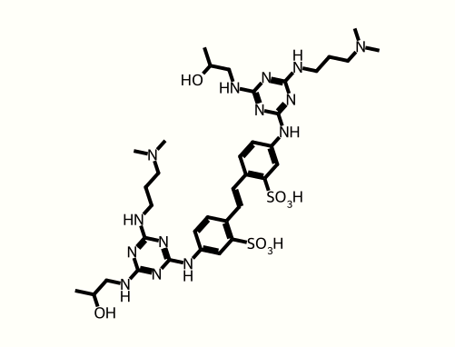 CC(O)CNc1nc(NCCCN(C)C)nc(Nc2ccc(/C=C/c3ccc(Nc4nc(NCCCN(C)C)nc(NCC(C)O)n4)cc3S(=O)(=O)O)c(S(=O)(=O)O)c2)n1